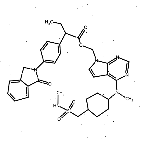 CCC(C(=O)OCn1ccc2c(N(C)C3CCC(CS(=O)(=O)NC)CC3)ncnc21)c1ccc(N2Cc3ccccc3C2=O)cc1